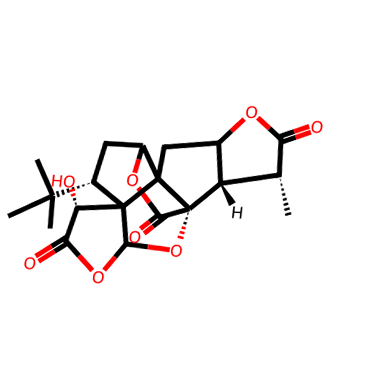 C[C@H]1C(=O)OC2CC34C5C[C@@H](C(C)(C)C)C36C(OC(=O)[C@@H]6O)O[C@@]4(C(=O)O5)[C@H]21